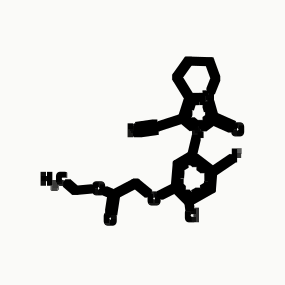 CCOC(=O)COc1cc(-n2c(C#N)c3n(c2=O)CCCC3)c(F)cc1Cl